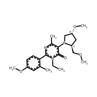 CCn1c(-c2ccc(OC)cc2C)nc(C)c(N2C[C@H](OC)C[C@H]2COC)c1=O